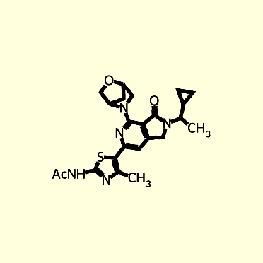 CC(=O)Nc1nc(C)c(-c2cc3c(c(N4CC5CC4CO5)n2)C(=O)N(C(C)C2CC2)C3)s1